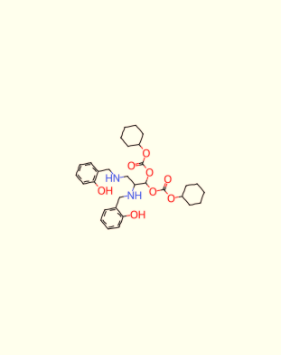 O=C(OC1CCCCC1)OC(OC(=O)OC1CCCCC1)C(CNCc1ccccc1O)NCc1ccccc1O